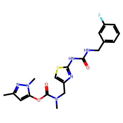 Cc1cc(OC(=O)N(C)Cc2csc(NC(=O)NCc3cccc(F)c3)n2)n(C)n1